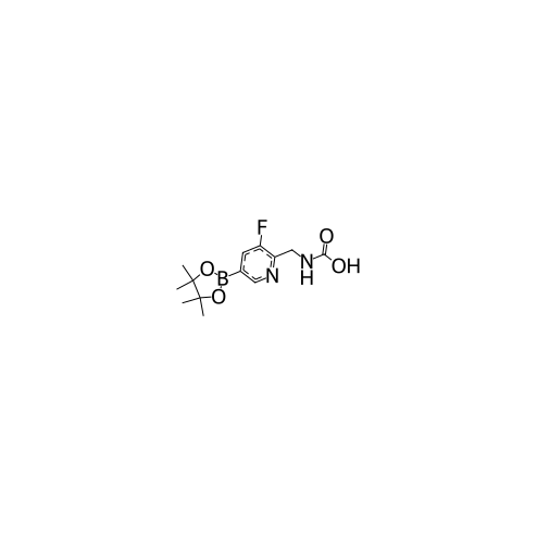 CC1(C)OB(c2cnc(CNC(=O)O)c(F)c2)OC1(C)C